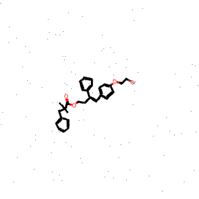 CC(C)(Cc1ccccc1)C(=O)OCCC(=Cc1ccc(OCCBr)cc1)c1ccccc1